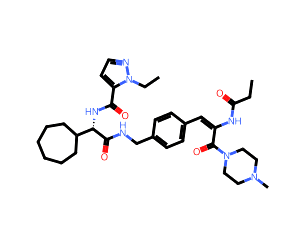 CCC(=O)N/C(=C/c1ccc(CNC(=O)[C@@H](NC(=O)c2ccnn2CC)C2CCCCCC2)cc1)C(=O)N1CCN(C)CC1